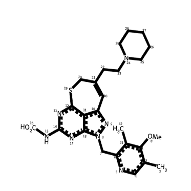 COc1c(C)cnc(Cn2nc3c4c(nc(NC(=O)O)nc42)SCC(CCN2CCCCC2)=C3)c1C